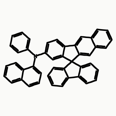 c1ccc(N(c2ccc3c(c2)C2(c4ccccc4-c4ccccc42)c2cc4ccccc4cc2-3)c2cccc3ccccc23)cc1